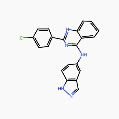 Clc1ccc(-c2nc(Nc3ccc4[nH]ncc4c3)c3ccccc3n2)cc1